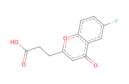 O=C(O)CCc1cc(=O)c2cc(F)ccc2o1